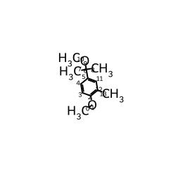 COc1ccc(C(C)(C)OC)cc1C